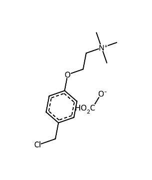 C[N+](C)(C)CCOc1ccc(CCl)cc1.O=C([O-])O